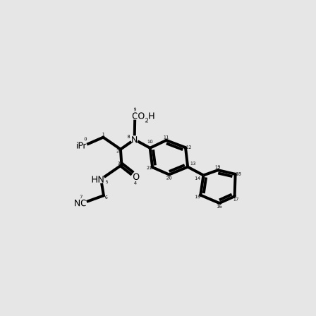 CC(C)CC(C(=O)NCC#N)N(C(=O)O)c1ccc(-c2ccccc2)cc1